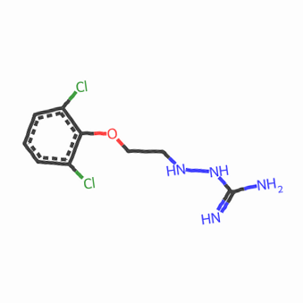 N=C(N)NNCCOc1c(Cl)cccc1Cl